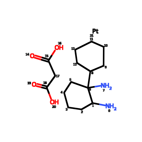 NC1CCCCC1(N)C1CCCCC1.O=C(O)CC(=O)O.[Pt]